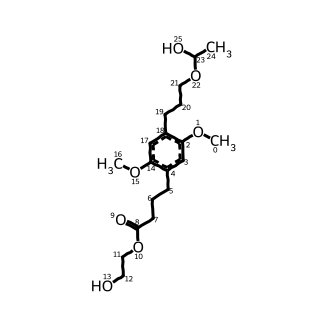 COc1cc(CCCC(=O)OCCO)c(OC)cc1CCCOC(C)O